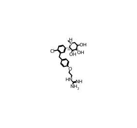 C[SH]1C[C@@H](O)[C@@H](O)[C@@H](O)[C@@H]1c1ccc(Cl)c(Cc2ccc(OCCNC(=N)N)cc2)c1